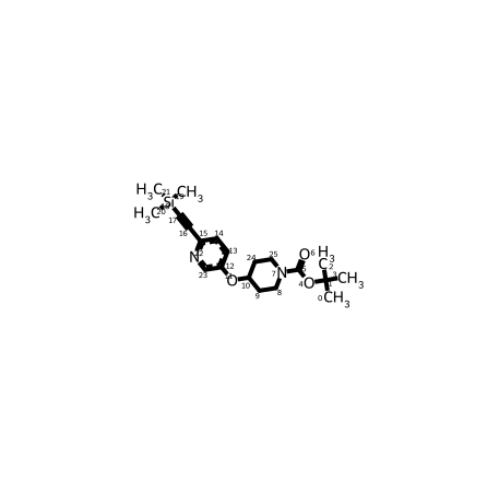 CC(C)(C)OC(=O)N1CCC(Oc2ccc(C#C[Si](C)(C)C)nc2)CC1